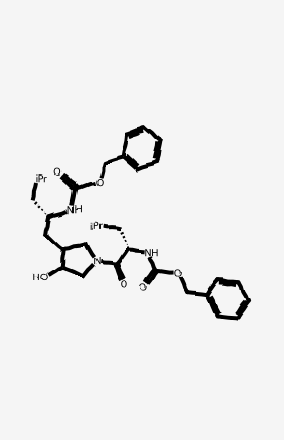 CC(C)C[C@@H](CC1CN(C(=O)[C@H](CC(C)C)NC(=O)OCc2ccccc2)CC1O)NC(=O)OCc1ccccc1